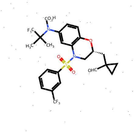 CC(C)(N(C(=O)O)c1ccc2c(c1)N(S(=O)(=O)c1cccc(C(F)(F)F)c1)C[C@@H](CC1(C=O)CC1)O2)C(F)(F)F